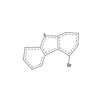 Brc1cccc2sc3ccccc3c12